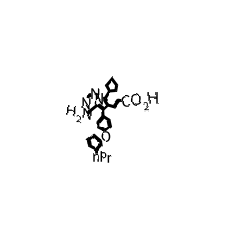 CCCc1cccc(Oc2ccc(-c3c(C=CC(=O)O)c(C4CCCC4)n4ncnc(N)c34)cc2)c1